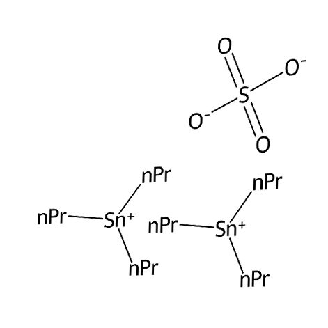 CC[CH2][Sn+]([CH2]CC)[CH2]CC.CC[CH2][Sn+]([CH2]CC)[CH2]CC.O=S(=O)([O-])[O-]